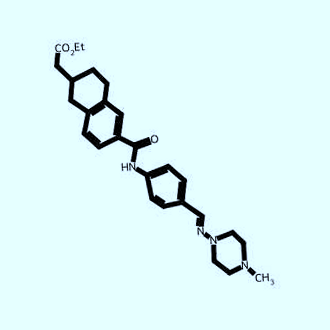 CCOC(=O)CC1CCc2cc(C(=O)Nc3ccc(C=NN4CCN(C)CC4)cc3)ccc2C1